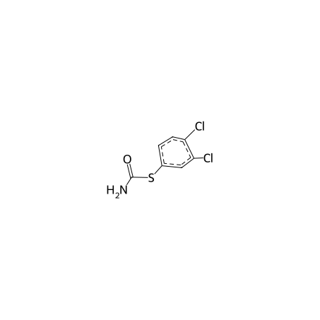 NC(=O)Sc1ccc(Cl)c(Cl)c1